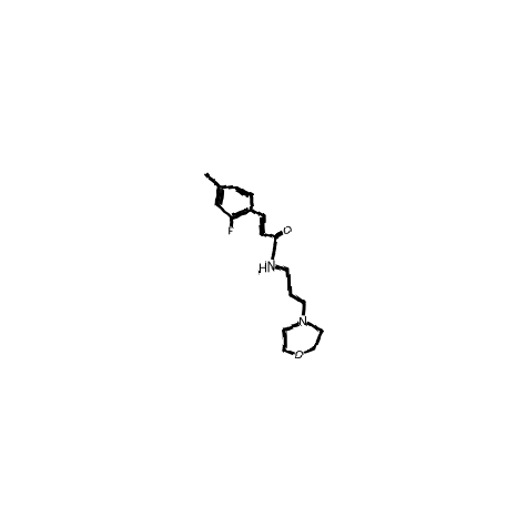 Cc1ccc(/C=C/C(=O)NCCCN2CCOCC2)c(F)c1